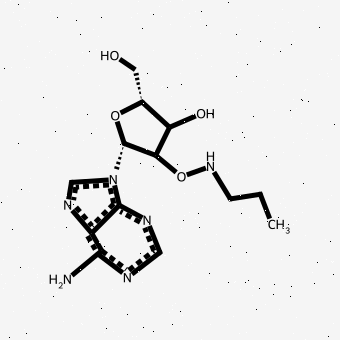 CCCNOC1C(O)[C@@H](CO)O[C@H]1n1cnc2c(N)ncnc21